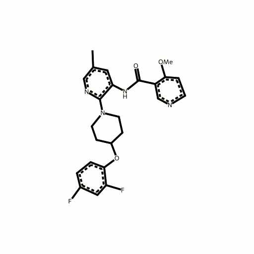 COc1ccncc1C(=O)Nc1cc(C)cnc1N1CCC(Oc2ccc(F)cc2F)CC1